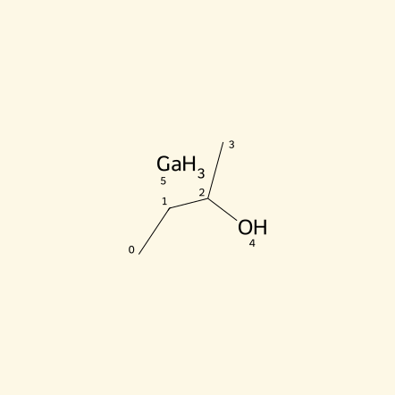 CCC(C)O.[GaH3]